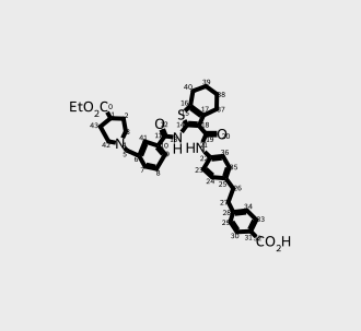 CCOC(=O)C1CCN(Cc2cccc(C(=O)Nc3sc4c(c3C(=O)Nc3ccc(CCc5ccc(C(=O)O)cc5)cc3)CCCC4)c2)CC1